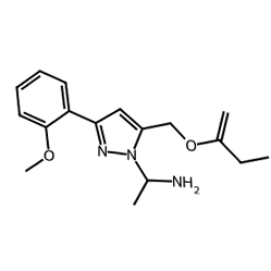 C=C(CC)OCc1cc(-c2ccccc2OC)nn1C(C)N